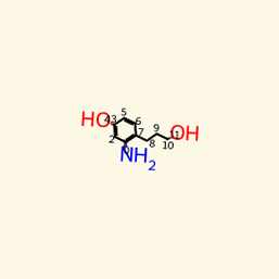 Nc1cc(O)ccc1CCCO